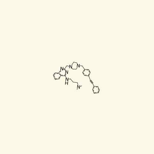 CN(C)CCCNc1nc(CN2CCN(Cc3ccc(C#Cc4ccccc4)cc3)CC2)nc2ccccc12